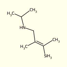 CC([SiH3])=C(C)CNC(C)C